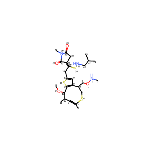 CNOCC1CS/C(C)=C\C(C)C(OC)c2sc(C/C(SNCC(C)C)=C3/CC(=O)N(C)C3=O)cc21